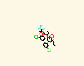 C=CC[C@@]1(C)C[C@H](c2cccc(Cl)c2)[C@@H](c2ccc(Cl)cc2)N(C(CC)CCC(C)(O)C(F)(F)F)C1=O